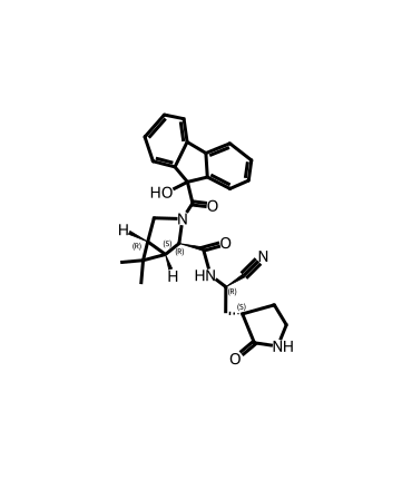 CC1(C)[C@@H]2[C@H]1CN(C(=O)C1(O)c3ccccc3-c3ccccc31)[C@H]2C(=O)N[C@@H](C#N)C[C@@H]1CCNC1=O